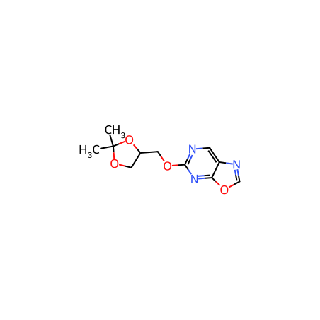 CC1(C)OCC(COc2ncc3ncoc3n2)O1